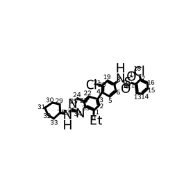 CCc1cc(-c2ccc(NS(=O)(=O)c3ccccc3Cl)cc2Cl)cc2cnc(NC3CCCCC3)nc12